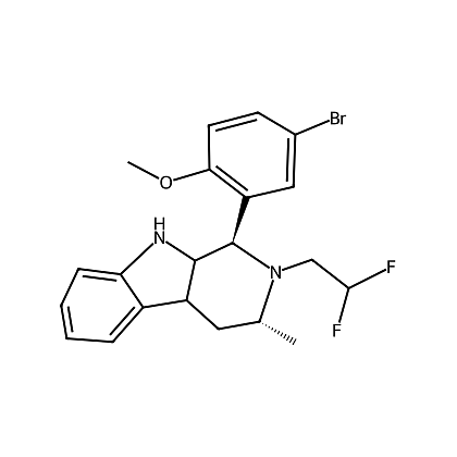 COc1ccc(Br)cc1[C@@H]1C2Nc3ccccc3C2C[C@@H](C)N1CC(F)F